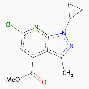 COC(=O)c1cc(Cl)nc2c1c(C)nn2C1CC1